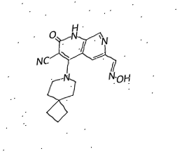 N#Cc1c(N2CCC3(CCC3)CC2)c2cc(C=NO)ncc2[nH]c1=O